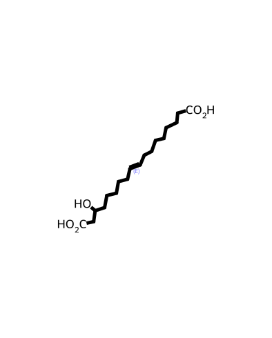 O=C(O)CCCCCCC/C=C/CCCCCC(O)CC(=O)O